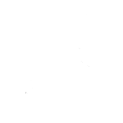 CC(OC(=O)Nc1c(F)cnn1-c1ccc(-c2ccc(C3(C(=O)NS(C)(=O)=O)CC3)cc2F)cc1)c1ccccc1Cl